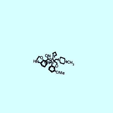 COc1cccc2c1OCC(CN1CCC1)(CN1CCN(C)CC1)[N+]2(N=O)OC(N=O)c1cccc2c1OCCN2